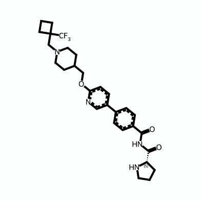 O=C(NC(=O)[C@@H]1CCCN1)c1ccc(-c2ccc(OCC3CCN(CC4(C(F)(F)F)CCC4)CC3)nc2)cc1